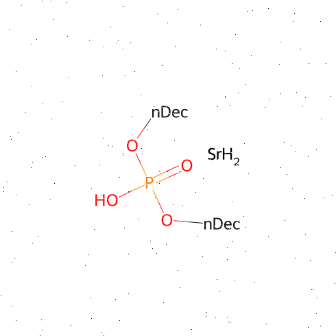 CCCCCCCCCCOP(=O)(O)OCCCCCCCCCC.[SrH2]